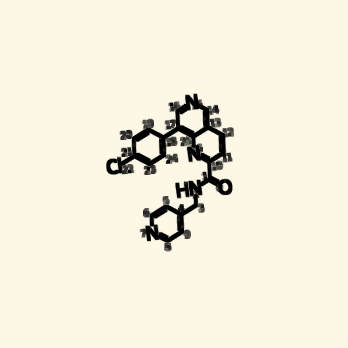 O=C(NCc1ccncc1)c1ccc2cncc(-c3ccc(Cl)cc3)c2n1